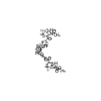 C=COC(=O)NCC1(C)CC(C(=O)CCC(F)(F)OCC(F)(F)OC(F)(F)COCCOC(=O)C2CC(C)(C)CC(C)(CNC(=O)OC=C)C2)CC(C)(C)C1